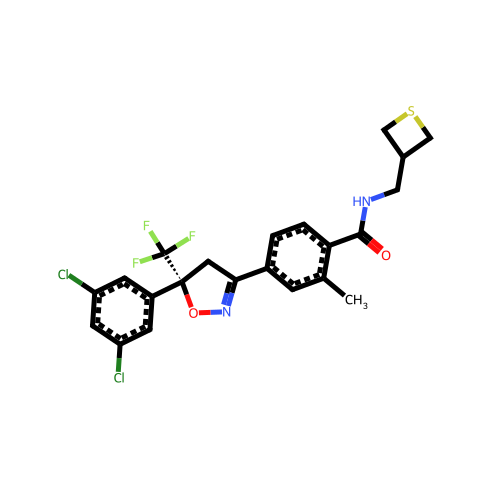 Cc1cc(C2=NO[C@](c3cc(Cl)cc(Cl)c3)(C(F)(F)F)C2)ccc1C(=O)NCC1CSC1